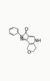 O=c1c2c[nH]c3c(c-2nn1-c1ccccc1)COCC3